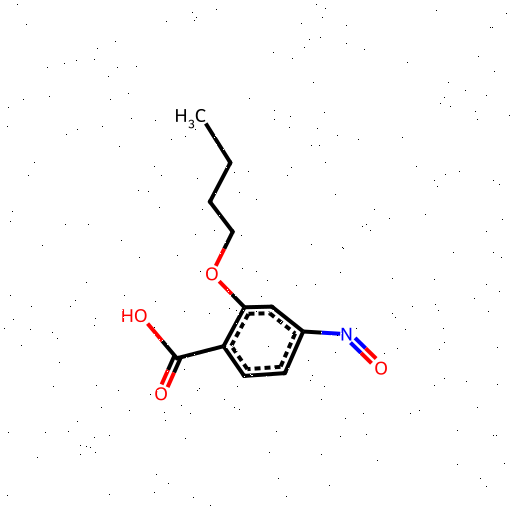 CCCCOc1cc(N=O)ccc1C(=O)O